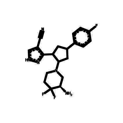 N#Cc1c[nH]nc1C1CC(c2ccc(F)cc2)CC1N1CCC(F)(F)[C@H](N)C1